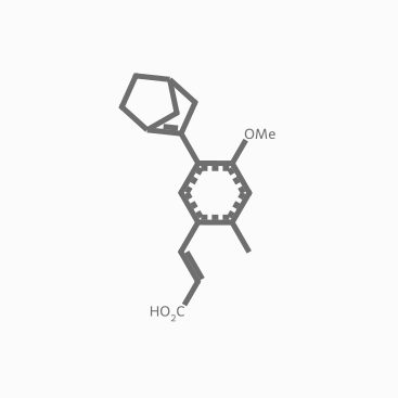 COc1cc(C)c(/C=C/C(=O)O)cc1C1=C2CCC(C2)C1